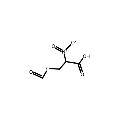 O=COCC(C(=O)O)[N+](=O)[O-]